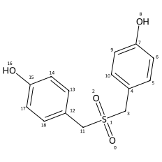 O=S(=O)(Cc1ccc(O)cc1)Cc1ccc(O)cc1